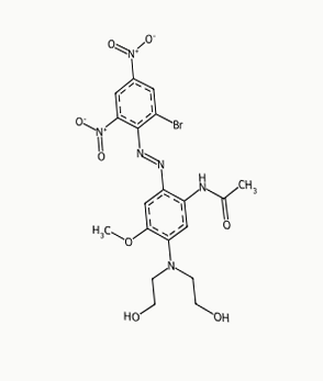 COc1cc(/N=N/c2c(Br)cc([N+](=O)[O-])cc2[N+](=O)[O-])c(NC(C)=O)cc1N(CCO)CCO